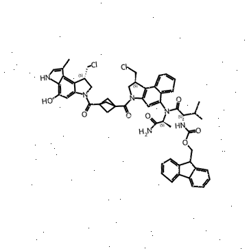 Cc1c[nH]c2c(O)cc3c(c12)[C@H](CCl)CN3C(=O)C12CC(C(=O)N3C[C@@H](CCl)c4c3cc(N(C(=O)[C@@H](NC(=O)OCC3c5ccccc5-c5ccccc53)C(C)C)[C@@H](C)C(N)=O)c3ccccc43)(C1)C2